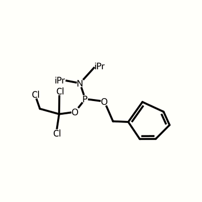 CC(C)N(C(C)C)P(OCc1ccccc1)OC(Cl)(Cl)CCl